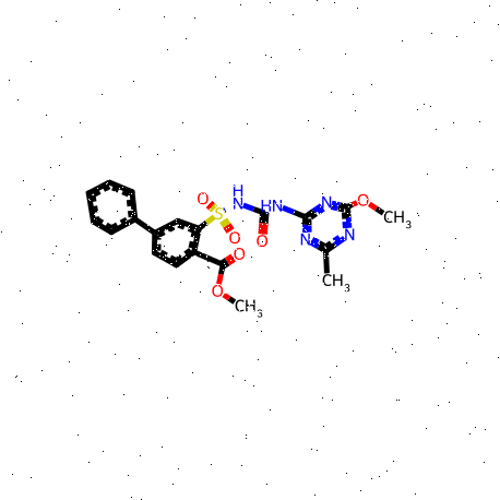 COC(=O)c1ccc(-c2ccccc2)cc1S(=O)(=O)NC(=O)Nc1nc(C)nc(OC)n1